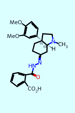 COc1ccc([C@@]23CCC(=NNC(=O)c4ccccc4C(=O)O)C[C@@H]2N(C)CC3)cc1OC